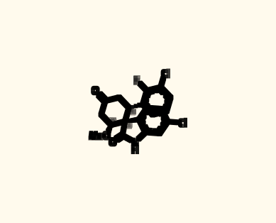 CO[C@H]1CC(=O)C[C@H](c2cccc(Cl)c2F)[C@]12C(=O)Nc1cc(Cl)ccc12